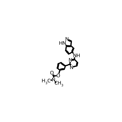 CN(C)C(=O)Oc1cccc(-c2nccc(Nc3ccc4[nH]ncc4c3)n2)c1